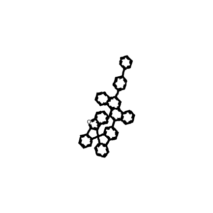 c1ccc(-c2ccc(-c3cc4c5ccccc5c(-c5ccc6c(c5)C5(c7ccccc7-6)c6ccccc6-c6oc7ccccc7c65)cc4c4ccccc34)cc2)cc1